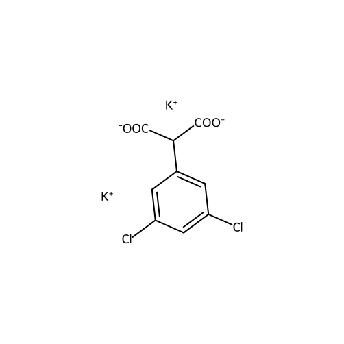 O=C([O-])C(C(=O)[O-])c1cc(Cl)cc(Cl)c1.[K+].[K+]